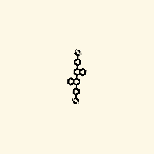 c1ccc2c(-c3ccc(-c4ccc(-c5cocn5)cc4)c4ccccc34)ccc(-c3ccc(-c4cocn4)cc3)c2c1